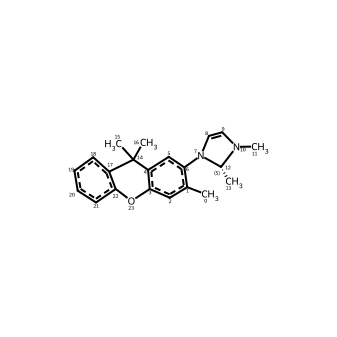 Cc1cc2c(cc1N1C=CN(C)[C@@H]1C)C(C)(C)c1ccccc1O2